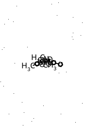 Cc1ccc(S(=O)(=O)c2c(C)nn(S(=O)(=O)c3ccc(-c4ccccc4)cc3)c2C)cc1